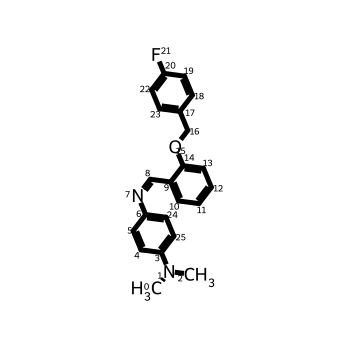 CN(C)c1ccc(/N=C\c2ccccc2OCc2ccc(F)cc2)cc1